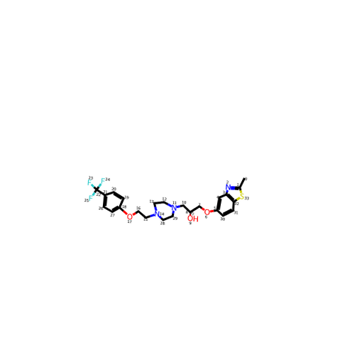 Cc1nc2cc(OC[C@H](O)CN3CCN(CCOc4ccc(C(F)(F)F)cc4)CC3)ccc2s1